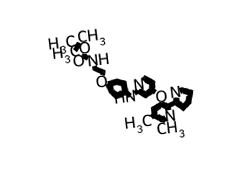 Cc1cc(Oc2ccnc(Nc3ccc(OCCNC(=O)OC(C)(C)C)cc3)c2)c(-c2ccccn2)nc1C